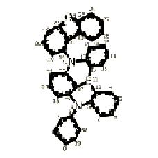 c1ccc(N2c3ccccc3B3c4ccccc4N(c4cccc5oc6ccccc6c45)c4cccc2c43)cc1